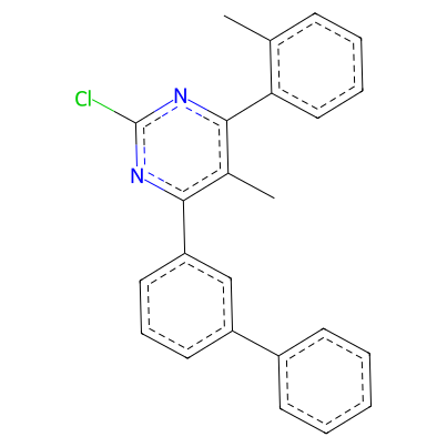 Cc1ccccc1-c1nc(Cl)nc(-c2cccc(-c3ccccc3)c2)c1C